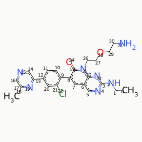 CCNc1ncc2cc(-c3ccc(-c4cncc(C)n4)cc3Cl)c(=O)n(CCOCCN)c2n1